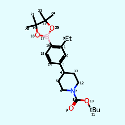 CCc1cc(C2CCN(C(=O)OC(C)(C)C)CC2)ccc1B1OC(C)(C)C(C)(C)O1